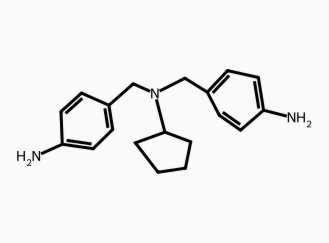 Nc1ccc(CN(Cc2ccc(N)cc2)C2CCCC2)cc1